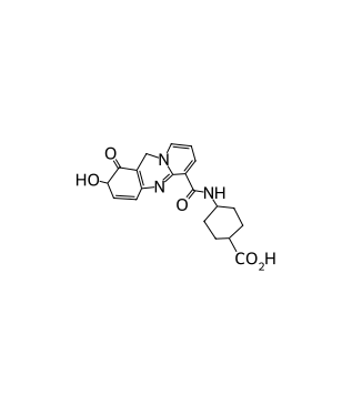 O=C(NC1CCC(C(=O)O)CC1)C1=CC=CN2CC3=C(C=CC(O)C3=O)N=C12